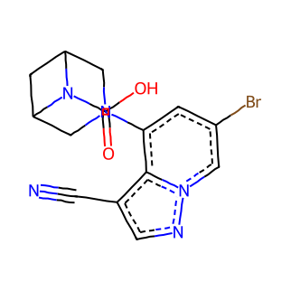 N#Cc1cnn2cc(Br)cc(N3CC4CC(C3)N4C(=O)O)c12